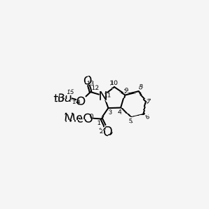 COC(=O)C1C2CCCCC2CN1C(=O)OC(C)(C)C